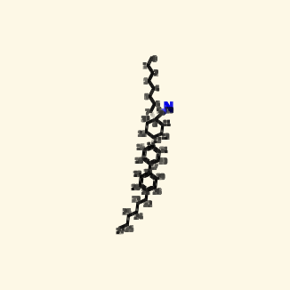 CCCCCCCC[C@]1(C#N)CC[C@H](c2ccc(-c3ccc(CCCCCC)cc3)cc2)CC1